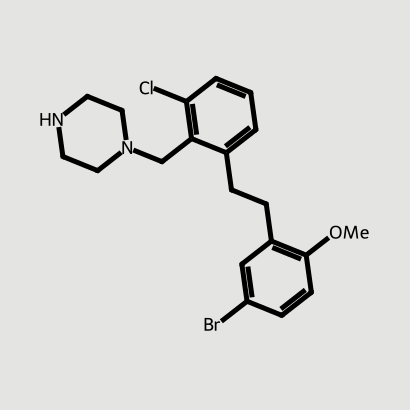 COc1ccc(Br)cc1CCc1cccc(Cl)c1CN1CCNCC1